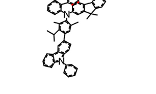 Cc1cc(-c2ccc3c(c2)c2ccccc2n3-c2ccccc2)c(C(C)C)c(C)c1N(c1ccc2c(c1)C(C)(C)c1ccccc1-2)c1ccccc1-c1ccccc1